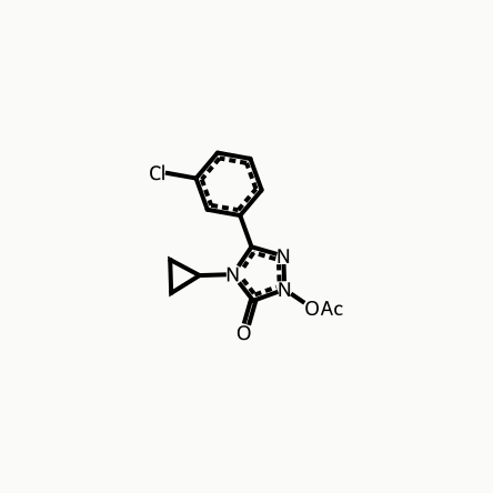 CC(=O)On1nc(-c2cccc(Cl)c2)n(C2CC2)c1=O